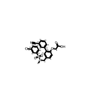 CN(Cc1ccc(OCC(=O)O)c(-c2cccc(C#N)c2)c1)S(=O)(=O)c1cccc(Cl)c1